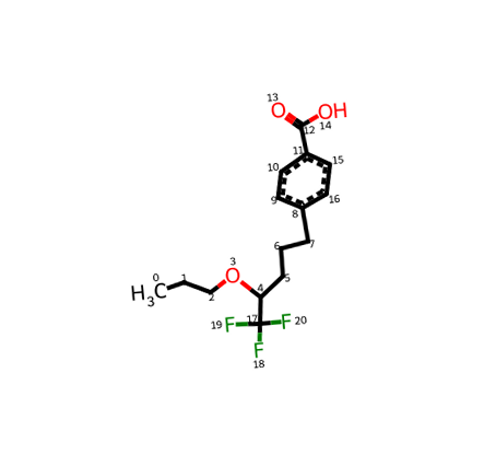 CCCOC(CCCc1ccc(C(=O)O)cc1)C(F)(F)F